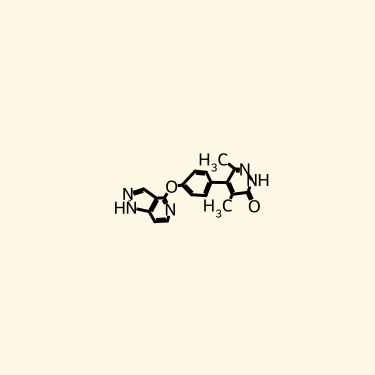 Cc1n[nH]c(=O)c(C)c1-c1ccc(Oc2nccc3[nH]ncc23)cc1